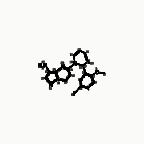 COc1ccc(F)cc1[C@@H]1N=CC=CN1c1ccn2ncc(N)c2n1